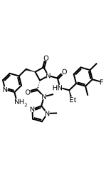 CC[C@@H](NC(=O)N1C(=O)[C@H](Cc2ccnc(N)c2)[C@H]1C(=O)N(C)c1nccn1C)c1ccc(C)c(F)c1C